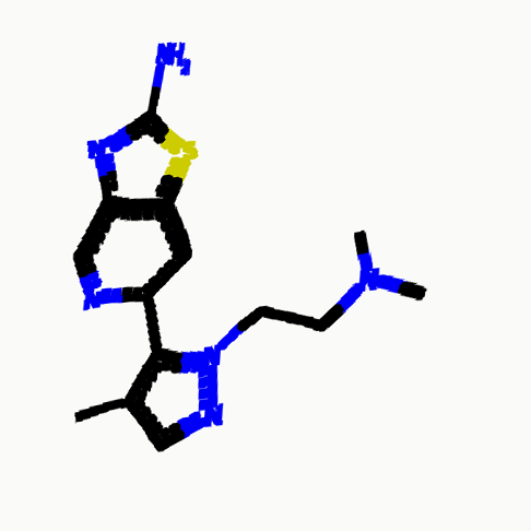 Cc1cnn(CCN(C)C)c1-c1cc2sc(N)nc2cn1